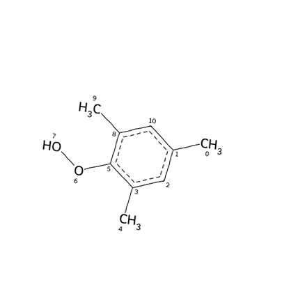 Cc1cc(C)c(OO)c(C)c1